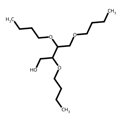 CCCCOCC(OCCCC)C(CO)OCCCC